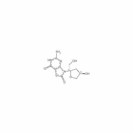 Nc1nc2c(sc(=O)n2[C@@]2(CO)C[C@@H](O)CO2)c(=O)[nH]1